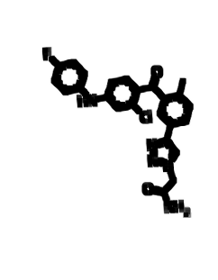 Cc1ccc(-c2cn(CC(N)=O)nn2)cc1C(=O)c1ccc(Nc2ccc(F)cc2)cc1Cl